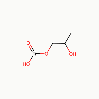 CC(O)C[O][Ti](=[O])[OH]